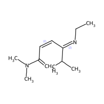 C=C(/C=C\C(=N/CC)C(C)C)N(C)C